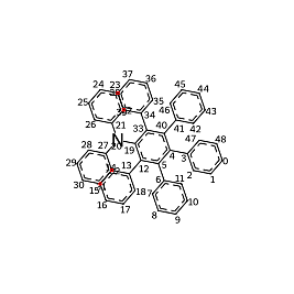 c1ccc(-c2c(-c3ccccc3)c(-c3ccccc3)c(N(c3ccccc3)c3ccccc3)c(-c3ccccc3)c2-c2ccccc2)cc1